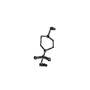 CNS(=O)(=O)N1CCN(C(C)(C)C)CC1